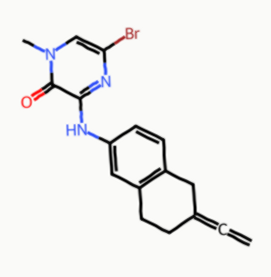 C=C=C1CCc2cc(Nc3nc(Br)cn(C)c3=O)ccc2C1